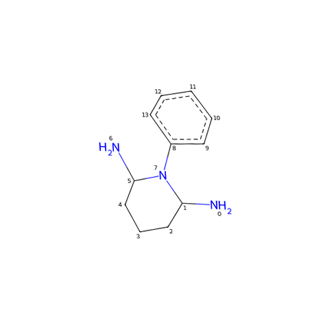 NC1CCCC(N)N1c1ccccc1